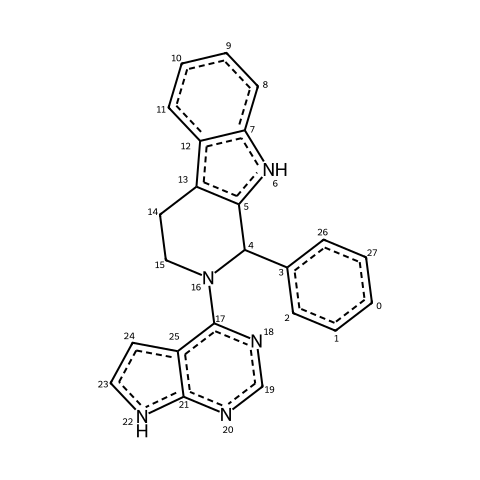 c1ccc(C2c3[nH]c4ccccc4c3CCN2c2ncnc3[nH]ccc23)cc1